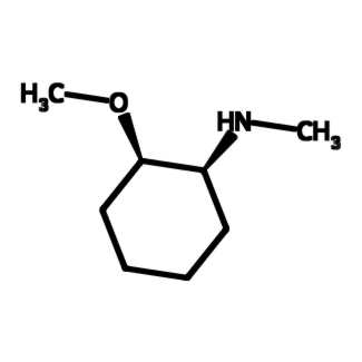 CN[C@H]1CCCC[C@H]1OC